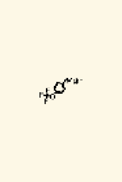 FC(F)(F)Oc1ccc([CH2][Mg][Br])cc1